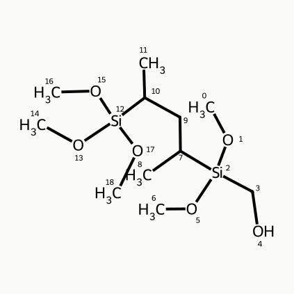 CO[Si](CO)(OC)C(C)CC(C)[Si](OC)(OC)OC